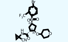 N#CC1(NC(=O)[C@@H]2C[C@@H](S(=O)(=O)c3ccc(Br)cc3C(F)(F)F)C[C@H]2OC2CCOCC2)CC1